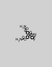 NCC(=O)Oc1ccc(C2(c3ccc(OC(=O)CN)cc3)C(=O)Nc3c2ccc(F)c3F)cc1